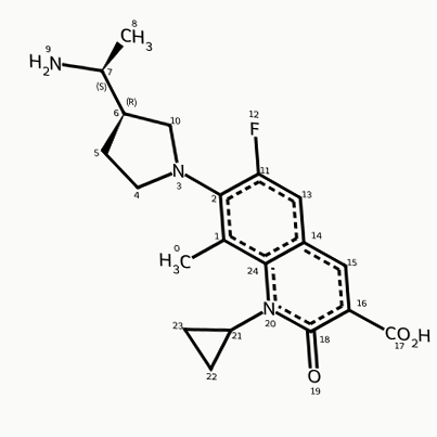 Cc1c(N2CC[C@@H]([C@H](C)N)C2)c(F)cc2cc(C(=O)O)c(=O)n(C3CC3)c12